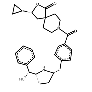 O=C(c1ccc(C[C@@H]2CC[C@H]([C@H](O)c3ccccc3)N2)cc1)N1CCC2(CC1)C[C@H](C1CC1)OC2=O